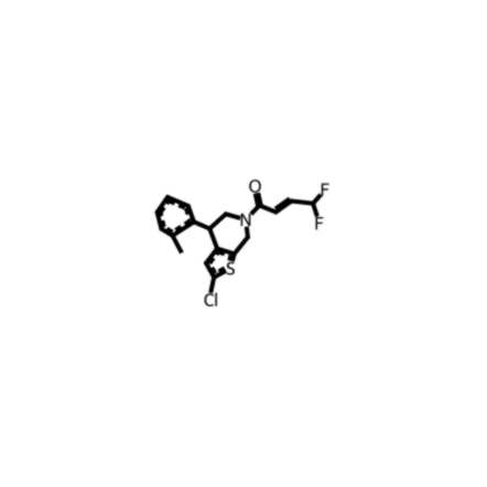 Cc1ccccc1C1CN(C(=O)/C=C/C(F)F)Cc2sc(Cl)cc21